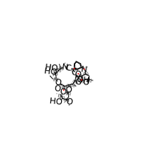 CC[C@H]1OC(=O)[C@H](C)[C@@H](O[C@H]2C[C@@](C)(OC)[C@@H](O)[C@H](C)O2)[C@H](C)[C@@H](O[C@@H]2O[C@H](C)C[C@H](N(C)C)[C@H]2Oc2ccccc2)[C@](C)(O)C[C@@H](C)CN(C)[C@H](C)[C@@H](O)[C@]1(C)O